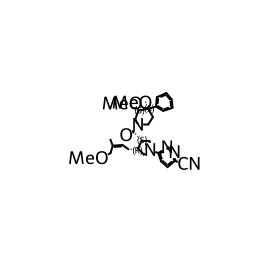 COCC(C)=CC[C@H]1CN(c2ccc(C#N)nn2)C[C@H]1C(=O)N1CC[C@](OC)(c2ccccc2)[C@@H](OC)C1